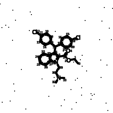 CCOC(=O)c1c(C(c2ccc(Cl)cc2)c2ccc(Cl)cc2)c2ccccc2n1CCN(C)C